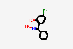 ON=C(c1ccccc1)c1ccc(Br)cc1O